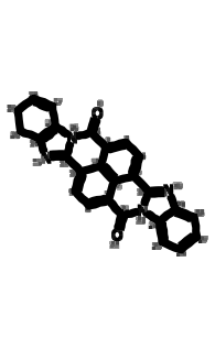 O=c1c2ccc3c4c(ccc(c24)c2nc4c(n12)C=CCC4)c(=O)n1c2ccccc2nc31